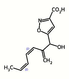 C=C(/C=C\C=C/C)C(O)c1cc(C(=O)O)no1